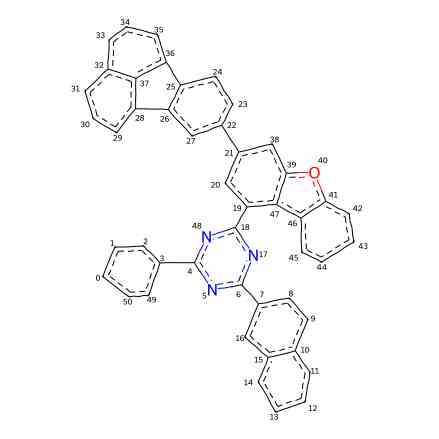 c1ccc(-c2nc(-c3ccc4ccccc4c3)nc(-c3cc(-c4ccc5c(c4)-c4cccc6cccc-5c46)cc4oc5ccccc5c34)n2)cc1